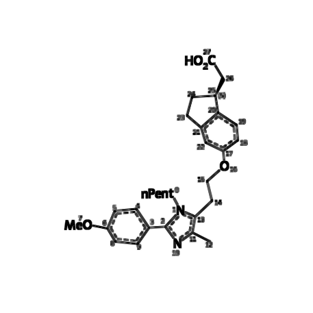 CCCCCn1c(-c2ccc(OC)cc2)nc(C)c1CCOc1ccc2c(c1)CC[C@H]2CC(=O)O